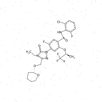 CCn1c(CO[C@H]2CCCCO2)nn(-c2cc(O[C@@H](C)C(F)(F)F)c(C(=O)Nc3c(F)cccc3Cl)cc2F)c1=O